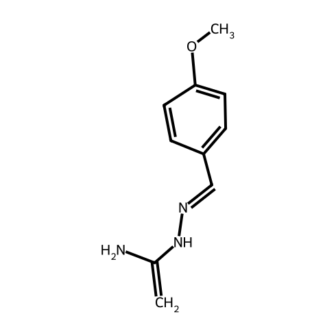 C=C(N)N/N=C/c1ccc(OC)cc1